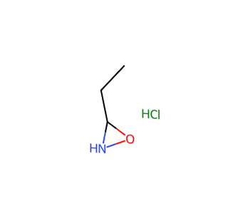 CCC1NO1.Cl